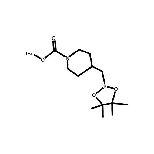 CC(C)(C)OC(=O)N1CCC(CB2OC(C)(C)C(C)(C)O2)CC1